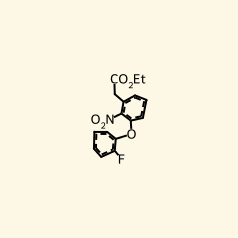 CCOC(=O)Cc1cccc(Oc2ccccc2F)c1[N+](=O)[O-]